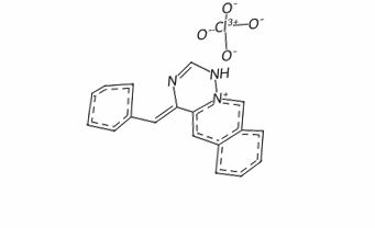 C1=NC(=Cc2ccccc2)c2cc3ccccc3c[n+]2N1.[O-][Cl+3]([O-])([O-])[O-]